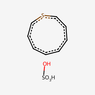 O=S(=O)(O)O.c1ccccsccc1